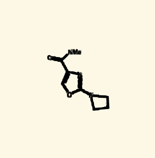 CNC(=O)c1coc(N2CCC2)n1